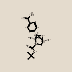 CC(C)(C)OC(=O)N1C[C@H]2C[C@@H]1[C@H](c1ccc(C(=O)O)cc1)O2